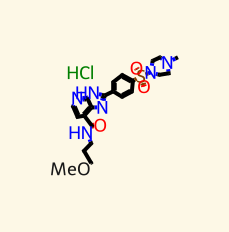 COCCCNC(=O)c1ccnc2[nH]c(-c3ccc(S(=O)(=O)N4CCN(C)CC4)cc3)nc12.Cl